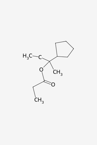 CCC(=O)OC(C)(CC)C1CCCC1